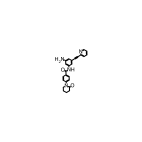 Nc1cc(C#Cc2ccccn2)cc(NC(=O)c2ccc(N3CCCCC3=O)cc2)c1